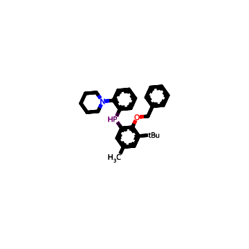 Cc1cc(Pc2ccccc2N2CCCCC2)c(OCc2ccccc2)c(C(C)(C)C)c1